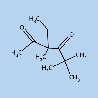 CCC(C)(C(C)=O)C(=O)C(C)(C)C